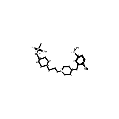 CC(C)Oc1ccc(Br)c(CC2CCN(CCCC3CCC(NS(C)(=O)=O)CC3)CC2)c1